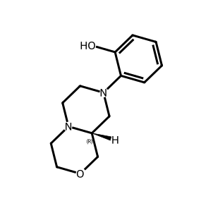 Oc1ccccc1N1CCN2CCOC[C@H]2C1